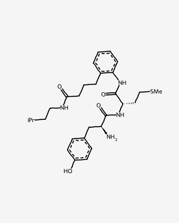 CSCC[C@H](NC(=O)[C@@H](N)Cc1ccc(O)cc1)C(=O)Nc1ccccc1CCCC(=O)NCCC(C)C